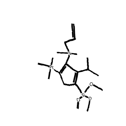 C=CC[Si](C)(C)C1=[C]([Pt]([CH3])([CH3])[CH3])CC([Si](OC)(OC)OC)=C1C(C)C